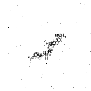 C[S+]([O-])c1cccc(-c2ccc(C3(O)CCC(N4CC[C@@H](NC(=O)CNC(=O)c5cccc(C(F)(F)F)c5)C4)CC3)cc2)c1